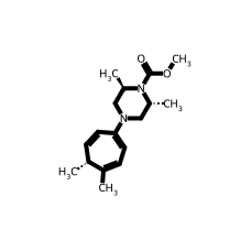 COC(=O)N1[C@H](C)CN(C2=CC=C(C)[C@H](C)C=C2)C[C@H]1C